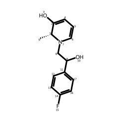 C[C@@H]1C(O)=CC=CN1CC(O)c1ccc(F)cc1